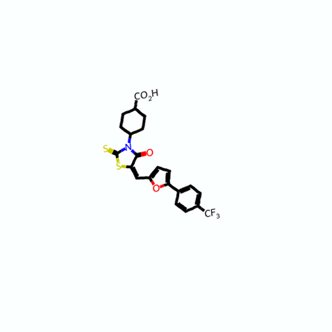 O=C(O)C1CCC(N2C(=O)/C(=C\c3ccc(-c4ccc(C(F)(F)F)cc4)o3)SC2=S)CC1